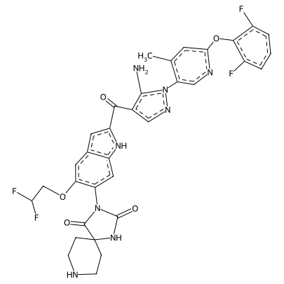 Cc1cc(Oc2c(F)cccc2F)ncc1-n1ncc(C(=O)c2cc3cc(OCC(F)F)c(N4C(=O)NC5(CCNCC5)C4=O)cc3[nH]2)c1N